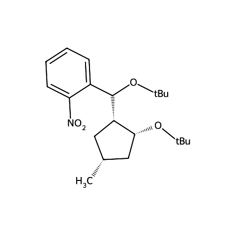 C[C@@H]1C[C@H](C(OC(C)(C)C)c2ccccc2[N+](=O)[O-])[C@H](OC(C)(C)C)C1